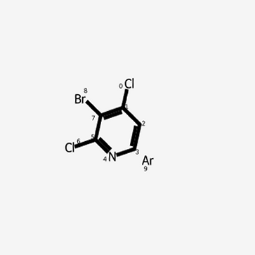 Clc1ccnc(Cl)c1Br.[Ar]